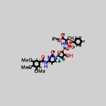 COc1cc(C(=O)Nc2ccn([C@@H]3O[C@H](CO[P@@](=O)(N[C@@H](C)C(=O)OC(C)C)Oc4ccccc4)C(O)C3(F)F)c(=O)n2)cc(OC)c1OC